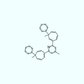 Cc1cc(C2=CC=CC(C)(c3ccccc3)C=C2)nc(C2=CC(C)(c3ccccc3)C=CC=C2)c1